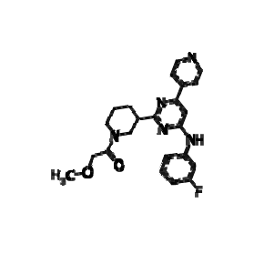 COCC(=O)N1CCCC(c2nc(Nc3cccc(F)c3)cc(-c3ccncc3)n2)C1